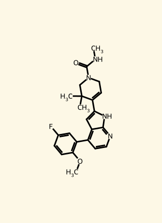 CNC(=O)N1CC=C(c2cc3c(-c4cc(F)ccc4OC)ccnc3[nH]2)C(C)(C)C1